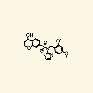 COc1ccc(CN(c2nccs2)S(=O)(=O)c2ccc3c(c2)OCCC3O)c(OC)c1